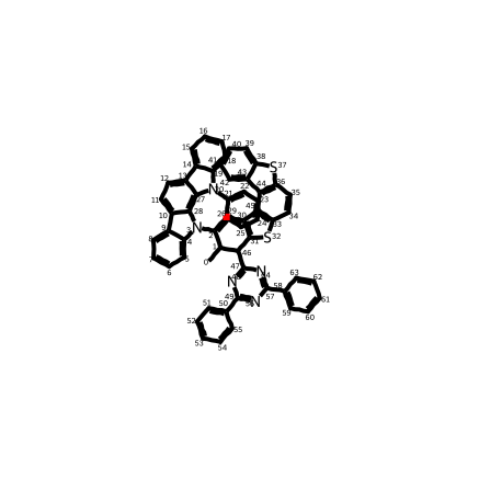 CC1C(n2c3ccccc3c3ccc4c5ccccc5n(-c5ccccc5)c4c32)=Cc2c(sc3ccc4sc5ccccc5c4c23)C1c1nc(-c2ccccc2)nc(-c2ccccc2)n1